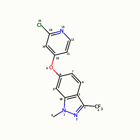 Cn1nc(C(F)(F)F)c2ccc(Oc3ccnc(Cl)c3)cc21